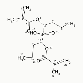 C=C(C)C(=O)OC(CCC)P(=O)(O)C(CCC)OC(=O)C(=C)C